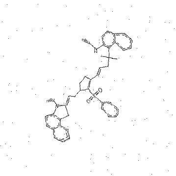 CCCCNc1ccc2ccccc2c1C(C)(C)C/C=C/C1=C(S(=O)(=O)c2ccccc2)C(C/C=C2\Cc3c(ccc4ccccc34)N2CCCC)CC1